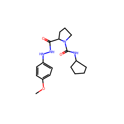 COc1ccc(NNC(=O)C2CCCN2C(=O)NC2CCCC2)cc1